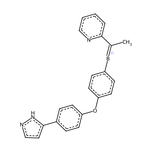 C/C(=B\c1ccc(Oc2ccc(-c3ccn[nH]3)cc2)cc1)c1ccccn1